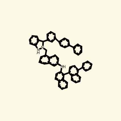 c1ccc(-c2ccc(-c3cccc(C4c5ccccc5NN4Cc4cccc5cc(Nc6ccc7ccccc7c6-c6ccc(-c7ccccc7)c7ccccc67)ccc45)c3)cc2)cc1